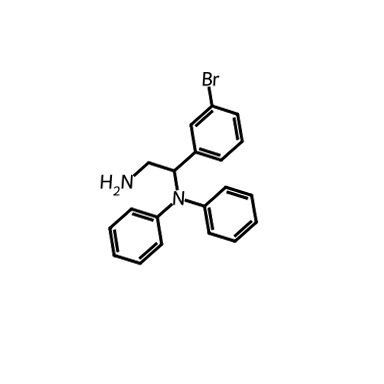 NCC(c1cccc(Br)c1)N(c1ccccc1)c1ccccc1